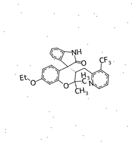 CCOc1ccc2c(c1)OC(C)(C)C(Cc1ncccc1C(F)(F)F)[C@]21C(=O)Nc2ccccc21